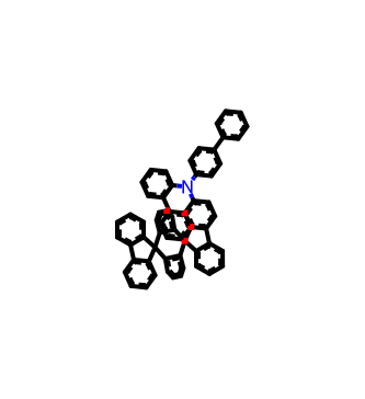 c1ccc(-c2ccc(N(c3ccc4c(c3)C3(c5ccccc5-4)c4ccccc4C4(c5ccccc5-c5ccccc54)c4ccccc43)c3ccccc3-c3ccccc3)cc2)cc1